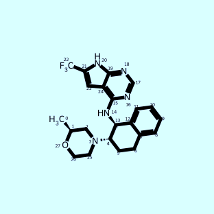 C[C@H]1CN([C@H]2CCc3ccccc3[C@@H]2Nc2ncnc3[nH]c(C(F)(F)F)cc23)CCO1